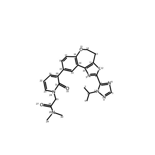 CC(C)n1ncnc1-c1nc2c(s1)CCOc1ccc(-c3cccn(CC(=O)N(C)C)c3=O)cc1-2